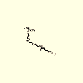 C[N+](C)(CCOCCNC(=O)CCCCCN)CCOP(O)O